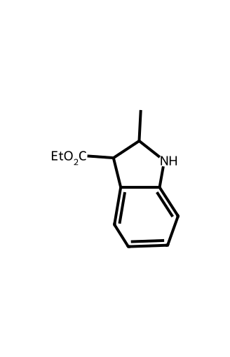 CCOC(=O)C1c2ccccc2NC1C